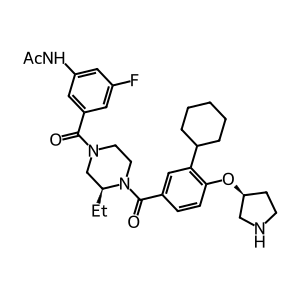 CC[C@H]1CN(C(=O)c2cc(F)cc(NC(C)=O)c2)CCN1C(=O)c1ccc(O[C@H]2CCNC2)c(C2CCCCC2)c1